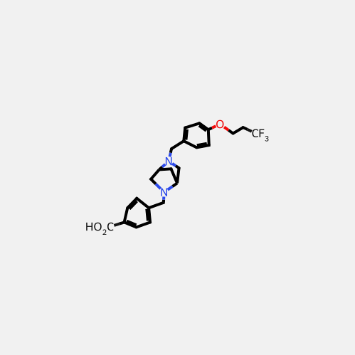 O=C(O)c1ccc(CN2CC3CC2CN3Cc2ccc(OCCC(F)(F)F)cc2)cc1